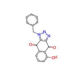 O=C1c2nnn(Cc3ccccc3)c2C(=O)c2cccc(O)c21